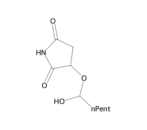 CCCCCC(O)OC1CC(=O)NC1=O